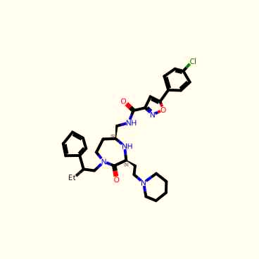 CCC(CN1CC[C@@H](CNC(=O)c2cc(-c3ccc(Cl)cc3)on2)N[C@@H](CCN2CCCCC2)C1=O)c1ccccc1